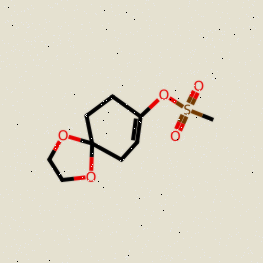 CS(=O)(=O)OC1=CCC2(CC1)OCCO2